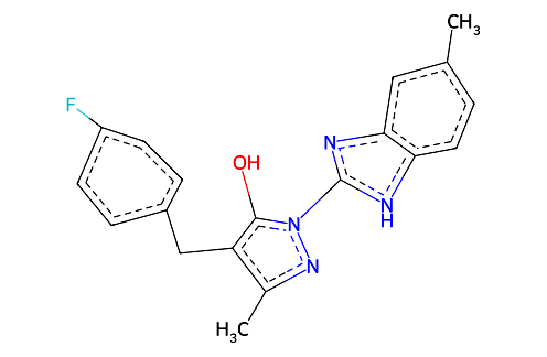 Cc1ccc2[nH]c(-n3nc(C)c(Cc4ccc(F)cc4)c3O)nc2c1